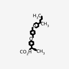 CC#CC(CC(=O)O)c1ccc(OCc2ccc(CN3CCC(/C(C)=C/C=C\C)CC3)cc2)cc1